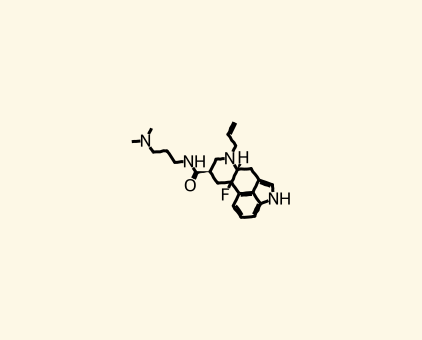 C=CCN1C[C@H](C(=O)NCCCN(C)C)CC2(F)c3cccc4[nH]cc(c34)C[C@@H]12